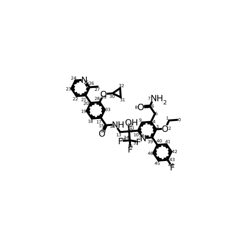 CCOc1c(CC(N)=O)cc([C@@](O)(CNC(=O)c2ccc(-c3cccnc3C)c(OC3CC3)c2)C(F)(F)F)nc1-c1ccc(F)cc1